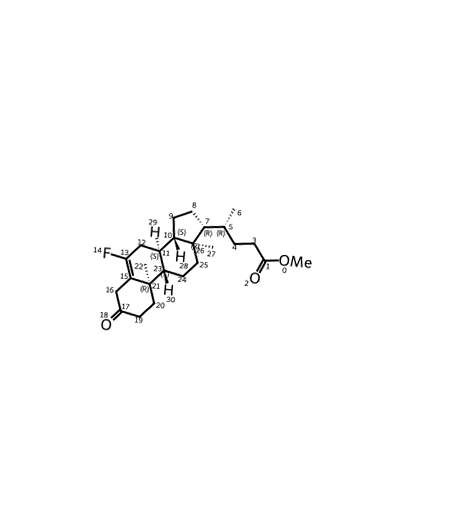 COC(=O)CC[C@@H](C)[C@H]1CC[C@H]2[C@@H]3CC(F)=C4CC(=O)CC[C@]4(C)[C@H]3CC[C@]12C